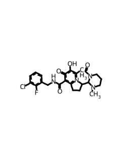 Cc1c(O)c(=O)c(C(=O)NCc2cccc(Cl)c2F)c2n1C(C1N(C)CCCN1C=O)CC2